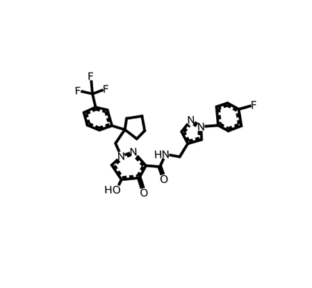 O=C(NCc1cnn(-c2ccc(F)cc2)c1)c1nn(CC2(c3cccc(C(F)(F)F)c3)CCCC2)cc(O)c1=O